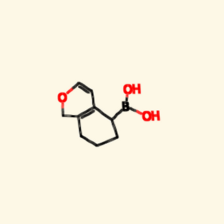 OB(O)C1CCCC2=C1C=COC2